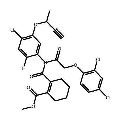 C#CC(C)Oc1cc(N(C(=O)COc2ccc(Cl)cc2Cl)C(=O)C2=C(C(=O)OC)CCCC2)c(F)cc1Cl